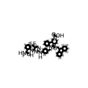 CNC(=O)c1ccccc1Nc1nc(Nc2ccc(CN(C(=O)OCC3c4ccccc4-c4ccccc43)c3ccccc3C3CCCN(C(=O)O)C3)cc2)ncc1C(F)(F)F